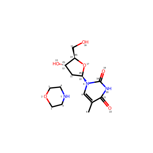 C1COCCN1.Cc1cn([C@H]2C[C@H](O)[C@@H](CO)O2)c(=O)[nH]c1=O